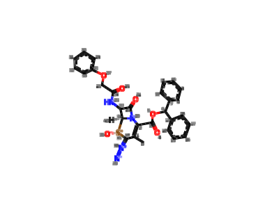 CC1=C(C(=O)OC(c2ccccc2)c2ccccc2)N2C(=O)C(NC(=O)COc3ccccc3)[C@@H]2[S@@+]([O-])C1=[N+]=[N-]